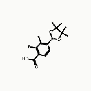 Cc1c(B2OC(C)(C)C(C)(C)O2)ccc(C(=O)O)c1F